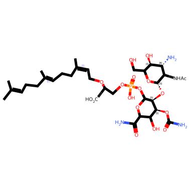 CC(=O)NC1[C@H](O[C@@H]2C(OP(=O)(O)OCC(OC/C=C(/C)CC/C=C(\C)CCC=C(C)C)C(=O)O)OC(C(N)=O)C(O)[C@@H]2OC(N)=O)OC(CO)[C@@H](O)[C@@H]1N